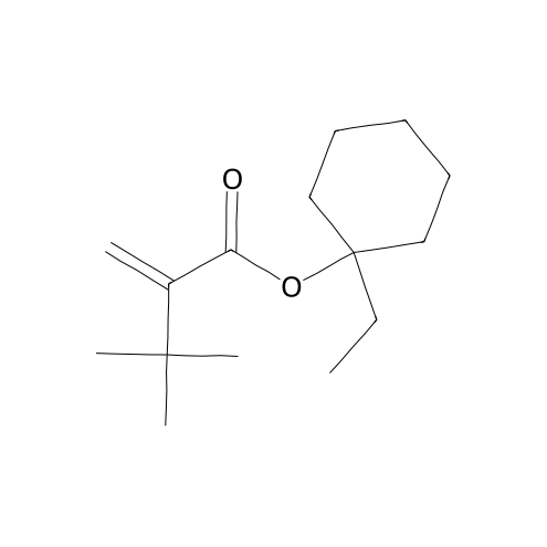 C=C(C(=O)OC1(CC)CCCCC1)C(C)(C)C